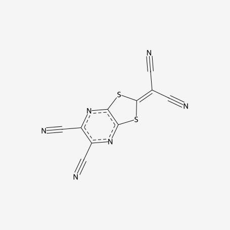 N#CC(C#N)=C1Sc2nc(C#N)c(C#N)nc2S1